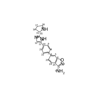 Nc1noc2cc(-c3ccc(-c4cnc([C@@H]5CCCN5)[nH]4)cc3)ccc12